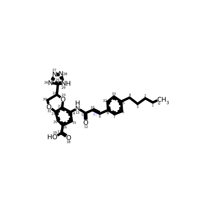 CCCCCc1ccc(/C=C/C(=O)Nc2cc(C(=O)O)cc3c2OC(c2nnn[nH]2)CO3)cc1